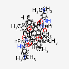 CCCC(C(=O)Nc1ccc(N(C)C)cc1)N1C(=O)c2cc(Oc3ccc(C)cc3C)c3c4c(Oc5ccc(C)cc5C)cc5c6c(cc(Oc7ccc(C)cc7C)c(c7c(Oc8ccc(C)cc8C)cc(c2c37)C1=O)c64)C(=O)N(C(CCC)C(=O)Nc1ccc(N(C)C)cc1)C5=O